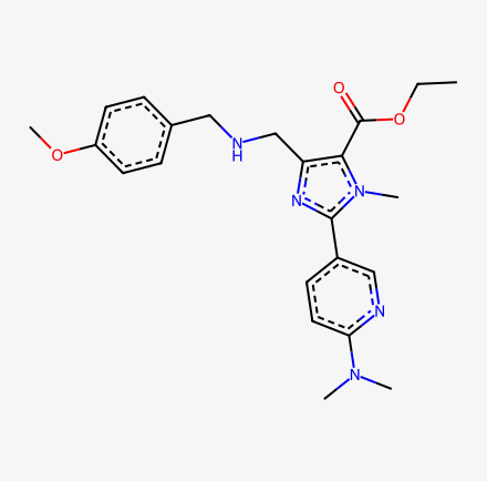 CCOC(=O)c1c(CNCc2ccc(OC)cc2)nc(-c2ccc(N(C)C)nc2)n1C